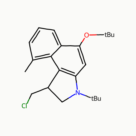 Cc1cccc2c(OC(C)(C)C)cc3c(c12)C(CCl)CN3C(C)(C)C